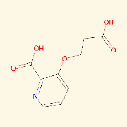 O=C(O)CCOc1cccnc1C(=O)O